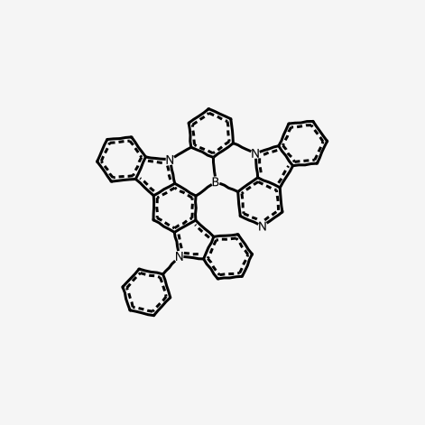 c1ccc(-n2c3ccccc3c3c4c5c(cc32)c2ccccc2n5-c2cccc3c2B4c2cncc4c5ccccc5n-3c24)cc1